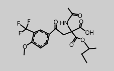 CCC(C)OC(=O)C(CC(=O)c1ccc(OC)c(C(F)(F)F)c1)(NC(C)=O)C(=O)O